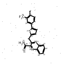 Cc1ccc(-c2ccc(Cc3nc4ccccc4nc3C(N)=O)s2)cc1C(F)(F)F